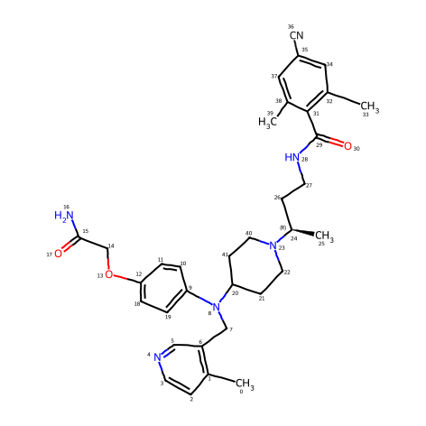 Cc1ccncc1CN(c1ccc(OCC(N)=O)cc1)C1CCN([C@H](C)CCNC(=O)c2c(C)cc(C#N)cc2C)CC1